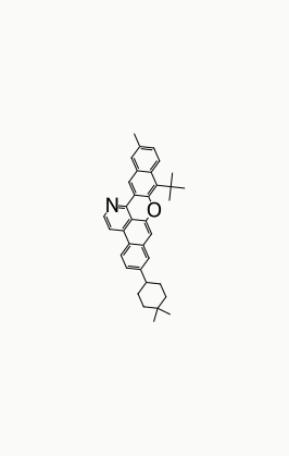 Cc1ccc2c(C(C)(C)C)c3c(cc2c1)-c1nccc2c1c(cc1cc(C4CCC(C)(C)CC4)ccc12)O3